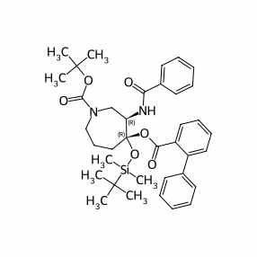 CC(C)(C)OC(=O)N1CCC[C@@](OC(=O)c2ccccc2-c2ccccc2)(O[Si](C)(C)C(C)(C)C)[C@H](NC(=O)c2ccccc2)C1